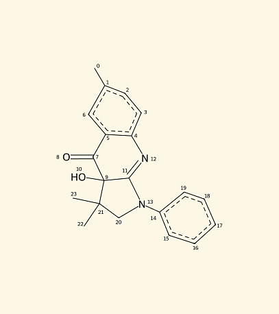 Cc1ccc2c(c1)C(=O)C1(O)C(=N2)N(c2ccccc2)CC1(C)C